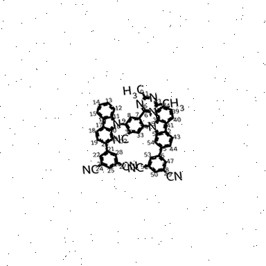 Cc1nc(C)nc(-c2cc(-n3c4ccccc4c4ccc(-c5cc(C#N)cc(C#N)c5)cc43)c(C#N)cc2-n2c3ccccc3c3ccc(-c4cc(C#N)cc(C#N)c4)cc32)n1